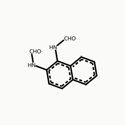 O=[C]Nc1ccc2ccc[c]c2c1N[C]=O